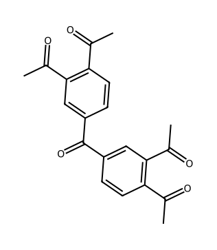 CC(=O)c1ccc(C(=O)c2ccc(C(C)=O)c(C(C)=O)c2)cc1C(C)=O